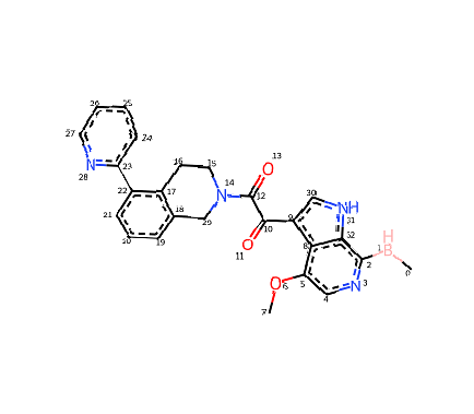 CBc1ncc(OC)c2c(C(=O)C(=O)N3CCc4c(cccc4-c4ccccn4)C3)c[nH]c12